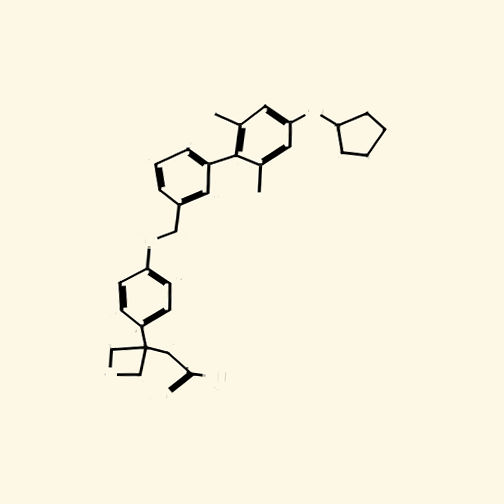 Cc1cc(OC2CCCC2)cc(C)c1-c1cccc(COc2ccc(C3(CC(=O)O)COC3)cc2)c1